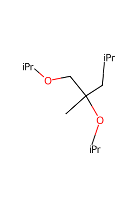 CC(C)CC(C)(COC(C)C)OC(C)C